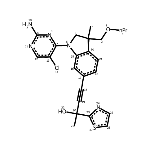 CCCOCC1(C)CN(c2nc(N)ncc2Cl)c2cc(C#CC(C)(O)c3nccs3)ccc21